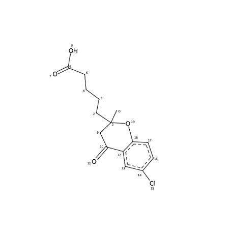 CC1(CCCCC(=O)O)CC(=O)c2cc(Cl)ccc2O1